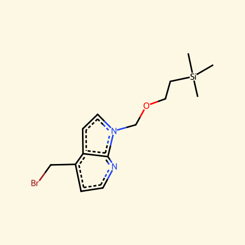 C[Si](C)(C)CCOCn1ccc2c(CBr)ccnc21